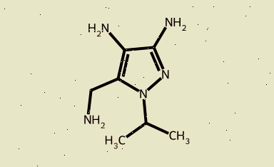 CC(C)n1nc(N)c(N)c1CN